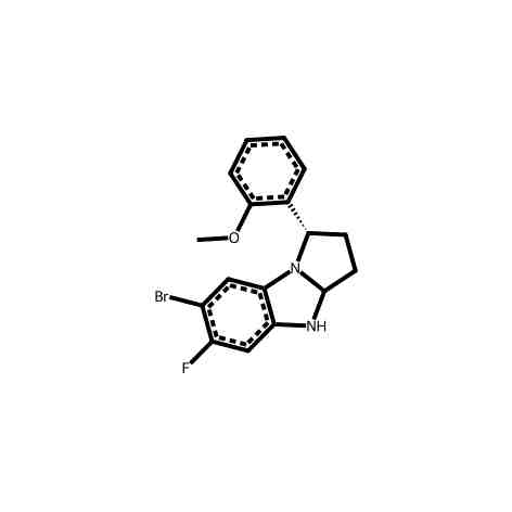 COc1ccccc1[C@@H]1CCC2Nc3cc(F)c(Br)cc3N21